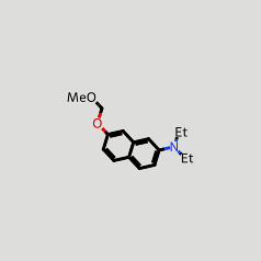 CCN(CC)c1ccc2ccc(OCOC)cc2c1